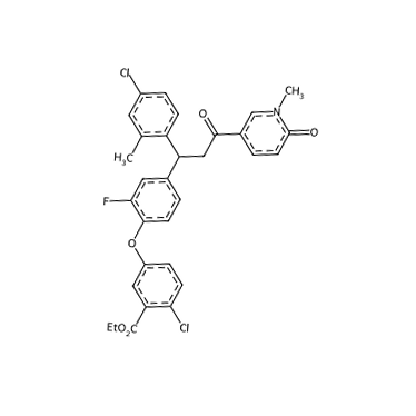 CCOC(=O)c1cc(Oc2ccc(C(CC(=O)c3ccc(=O)n(C)c3)c3ccc(Cl)cc3C)cc2F)ccc1Cl